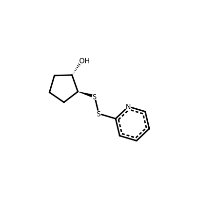 O[C@H]1CCC[C@@H]1SSc1ccccn1